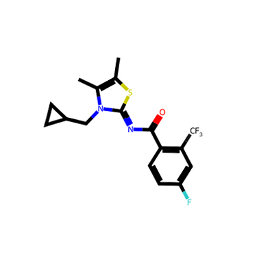 Cc1s/c(=N\C(=O)c2ccc(F)cc2C(F)(F)F)n(CC2CC2)c1C